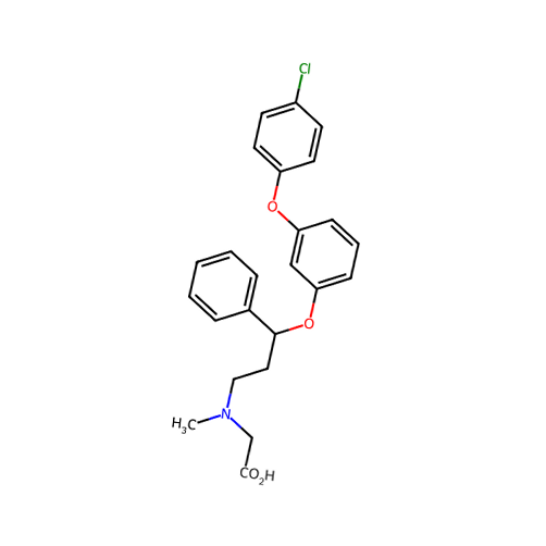 CN(CCC(Oc1cccc(Oc2ccc(Cl)cc2)c1)c1ccccc1)CC(=O)O